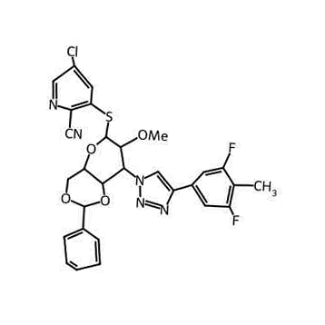 COC1C(Sc2cc(Cl)cnc2C#N)OC2COC(c3ccccc3)OC2C1n1cc(-c2cc(F)c(C)c(F)c2)nn1